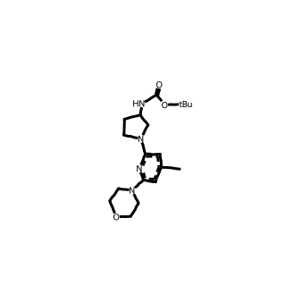 Cc1cc(N2CCOCC2)nc(N2CCC(NC(=O)OC(C)(C)C)C2)c1